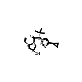 C=C[C@@H]1C[C@@H](O)CN1C(=O)[C@@H](n1cc(C2CC2)nn1)C(C)(C)C